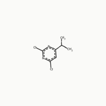 CC(C)c1cc(Cl)nc(Cl)n1